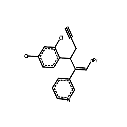 C#CCC(/C(=C\CCC)c1cccnc1)c1ccc(Cl)cc1Cl